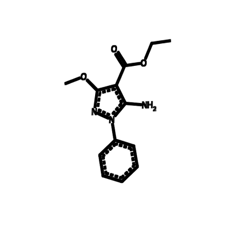 CCOC(=O)c1c(OC)nn(-c2ccccc2)c1N